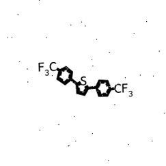 FC(F)(F)c1ccc(-c2ccc(-c3ccc(C(F)(F)F)cc3)s2)cc1